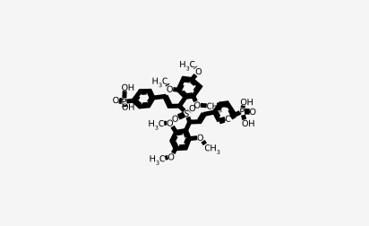 COc1cc(OC)c(C(C=Cc2ccc(P(=O)(O)O)cc2)S(=O)(=O)C(C=Cc2ccc(P(=O)(O)O)cc2)c2c(OC)cc(OC)cc2OC)c(OC)c1